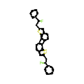 FC(Cc1cc2ccc3c(c2s1)-c1ccc2cc(CC(F)c4ccccc4)sc2c1-3)c1ccccc1